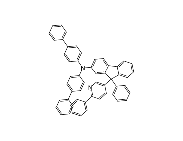 c1ccc(-c2ccc(N(c3ccc(-c4ccccc4)cc3)c3ccc4c(c3)C(c3ccccc3)(c3ccc(-c5ccccc5)nc3)c3ccccc3-4)cc2)cc1